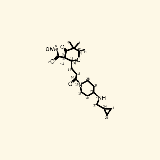 COC(=O)[C@@]1(C)C(=O)C(C)(C)[C@@H](C)O[C@H]1CCC(=O)N1CCC(NCC2CC2)CC1